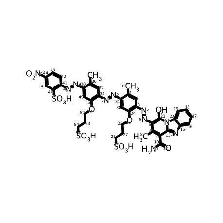 Cc1cc(N=Nc2c(C)c(C(N)=O)c3nc4ccccc4n3c2O)c(OCCCS(=O)(=O)O)cc1N=Nc1cc(C)c(N=Nc2ccc([N+](=O)[O-])cc2S(=O)(=O)O)cc1OCCCS(=O)(=O)O